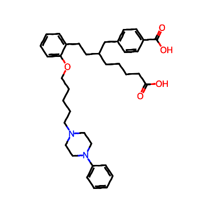 O=C(O)CCCCC(CCc1ccccc1OCCCCCN1CCN(c2ccccc2)CC1)Cc1ccc(C(=O)O)cc1